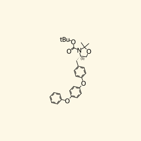 CC(C)(C)OC(=O)N1[C@@H](Cc2ccc(Oc3ccc(Oc4ccccc4)cc3)cc2)COC1(C)C